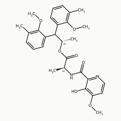 COc1ccnc(C(=O)N[C@@H](C)C(=O)O[C@@H](C)C(c2cccc(C)c2OC)c2cccc(C)c2OC)c1O